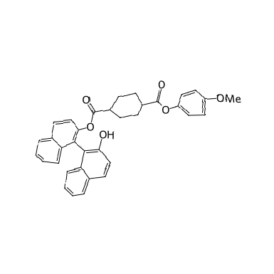 COc1ccc(OC(=O)C2CCC(C(=O)Oc3ccc4ccccc4c3-c3c(O)ccc4ccccc34)CC2)cc1